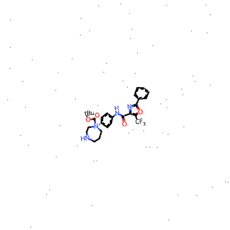 CC(C)(C)OC(=O)[N+]1(c2ccc(NC(=O)c3nc(-c4ccccc4)oc3C(F)(F)F)cc2)CCCNCC1